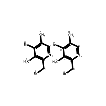 Cc1cnc(CBr)c(C)c1Br.Cc1cnc(CBr)c(C)c1Br